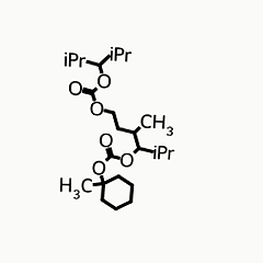 CC(C)C(OC(=O)OCCC(C)C(OC(=O)OC1(C)CCCCC1)C(C)C)C(C)C